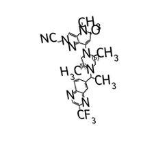 CC(c1ccc2ncc(C(F)(F)F)nc2c1)N1C[C@H](C)N(c2cc(=O)n(C)c3cn(CC#N)nc23)C[C@H]1C